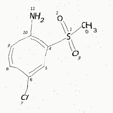 CS(=O)(=O)c1cc(Cl)ccc1N